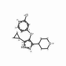 Clc1cc(Oc2c(C3CCOCC3)n[nH]c2C2CC2)ccn1